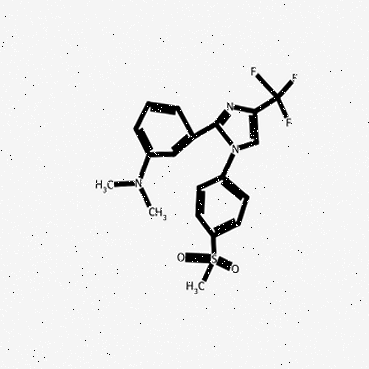 CN(C)c1cccc(-c2nc(C(F)(F)F)cn2-c2ccc(S(C)(=O)=O)cc2)c1